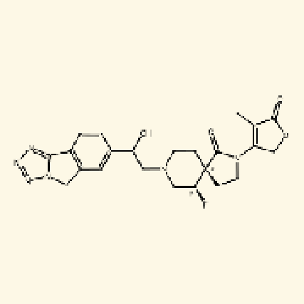 CC1=C(N2CC[C@@]3(CCN(CC(O)c4ccc5c(c4)Cn4nnnc4-5)C[C@@H]3F)C2=O)COC1=O